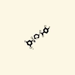 O=C(N[C@H]1CC[C@@H](S(=O)(=O)c2cc(F)cc(C(F)(F)F)c2)CC1)c1ccc(F)c(Cl)c1